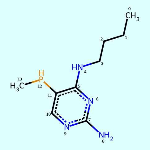 CCCCNc1nc(N)ncc1PC